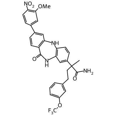 COc1cc(-c2ccc3c(c2)Nc2ccc(C(C)(CCc4cccc(OC(F)(F)F)c4)C(N)=O)cc2NC3=O)ccc1[N+](=O)[O-]